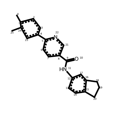 Cc1ccc(-c2ccc(C(=O)Nc3ccc4c(c3)CCC4)cn2)cc1C